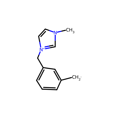 [CH2]c1cccc(C[n+]2ccn(C)c2)c1